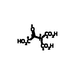 O=C(O)C(=O)N(C(=O)O)C(=O)O